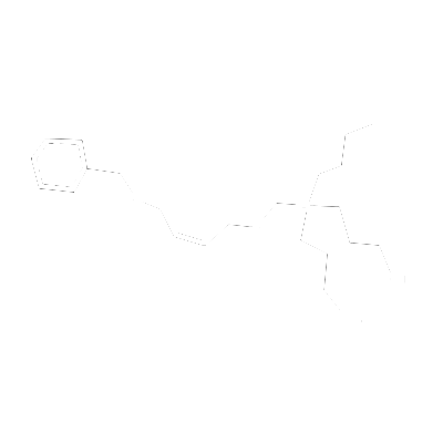 CCC[CH2][Sn]([CH2]CCC)([CH2]CCC)[CH2]OC/C=C\COCc1ccccc1